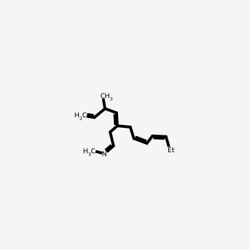 C=CC(C)/C=C(/C/C=C\C=C/CC)C/C=N\C